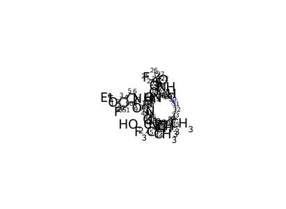 CCOc1cc2ccnc(O[C@@H]3C[C@H]4C(=O)N[C@]5(C(=O)NS(=O)(=O)C6(CF)CC6)C[C@H]5/C=C\CC[C@H](C)C[C@@H](C)[C@H](N(C(=O)O)C(C)(C)C(F)(F)F)C(=O)N4C3)c2cc1F